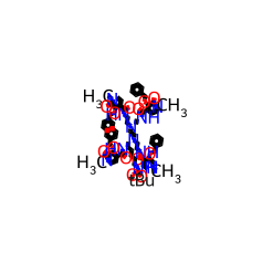 CN1C=CC(C(=O)NCCN(CCN(CCNC(=O)c2ccn(C)c(=O)c2OCc2ccccc2)CCNC(=O)c2ccn(C)c(=O)c2OCc2ccccc2)CC(CCCCNC(=O)OC(C)(C)C)NC(=O)c2ccn(C)c(=O)c2OCc2ccccc2)=C(OCc2ccccc2)C1